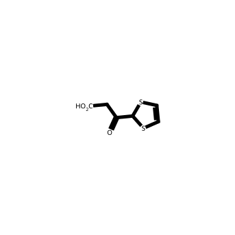 O=C(O)CC(=O)C1SC=CS1